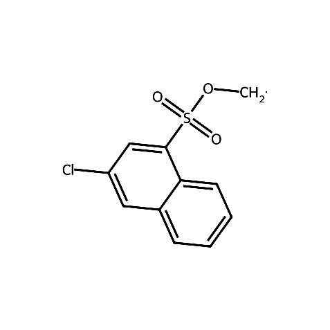 [CH2]OS(=O)(=O)c1cc(Cl)cc2ccccc12